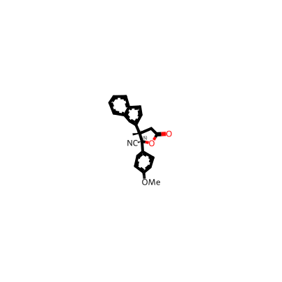 COc1ccc([C@]2(C#N)OC(=O)C[C@@]2(C)c2ccc3ccccc3c2)cc1